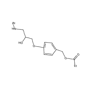 CCC(=O)OCc1ccc(OCC(O)CNC(C)C)cc1